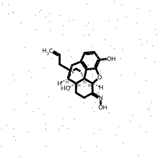 C=CCN1CC[C@]23c4c5ccc(O)c4O[C@H]2/C(=N/O)CC[C@@]3(O)[C@H]1C5